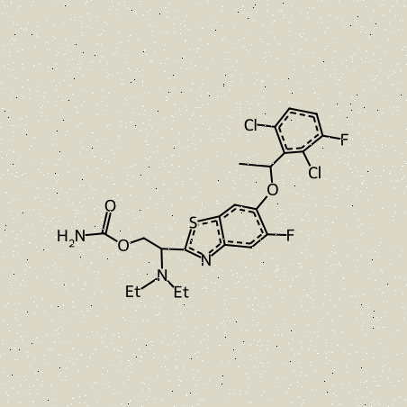 CCN(CC)C(COC(N)=O)c1nc2cc(F)c(OC(C)c3c(Cl)ccc(F)c3Cl)cc2s1